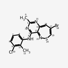 Cc1nc(Nc2cccc(Cl)c2C)c2c(n1)=CC(Br)=CSN=2